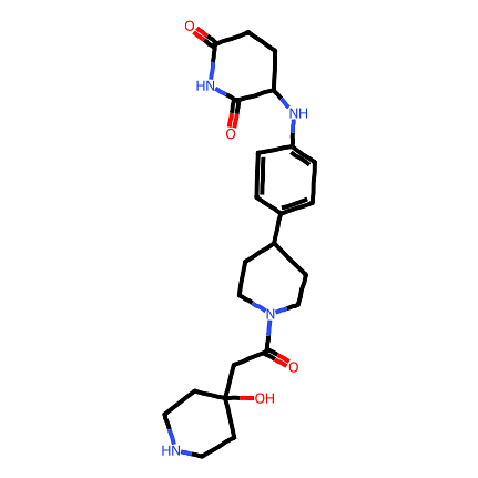 O=C1CCC(Nc2ccc(C3CCN(C(=O)CC4(O)CCNCC4)CC3)cc2)C(=O)N1